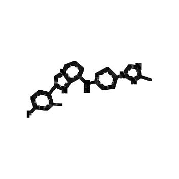 Cc1ncn(-c2ccc(Nc3cccn4cc(-c5ccc(F)cc5C)nc34)cc2)n1